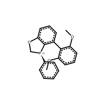 COc1cccc(OC)c1-c1cccc2c1[P@@](c1ccccc1)CO2